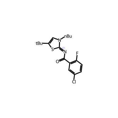 CCCCn1cc(C(C)(C)C)s/c1=N\C(=O)c1cc(Cl)ccc1F